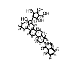 CC1(C)CC[C@]2([C@H](O)[C@H]3OC4(O)C(CO)[C@H](O)C(O)C34)CC[C@]3(C)C(=CCC4[C@@]5(C)CC[C@H](NC(=O)c6c(F)c(F)cc(F)c6F)C(C)(C)C5CC[C@]43C)C2C1